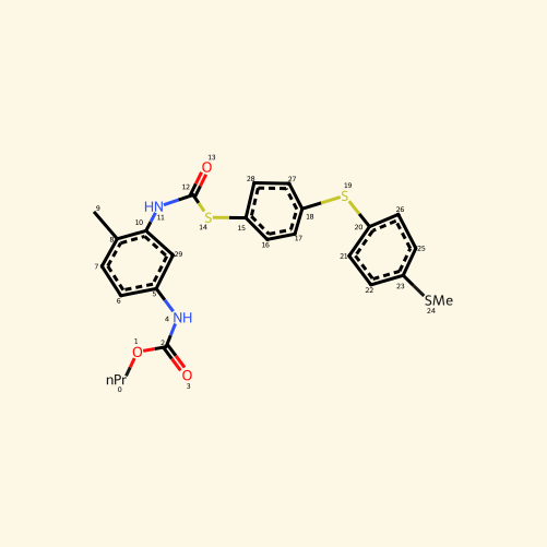 CCCOC(=O)Nc1ccc(C)c(NC(=O)Sc2ccc(Sc3ccc(SC)cc3)cc2)c1